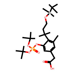 Cc1cc(CC(=O)O)cc(OP(=O)(OC(C)(C)C)OC(C)(C)C)c1C(C)(C)CCO[Si](C)(C)C(C)(C)C